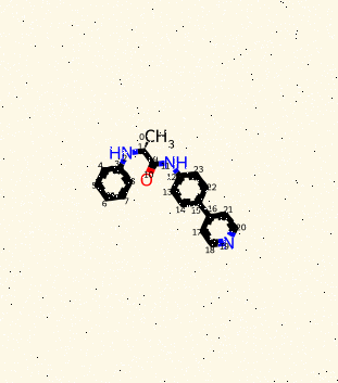 C[C@@H](Nc1ccccc1)C(=O)Nc1ccc(-c2ccncc2)cc1